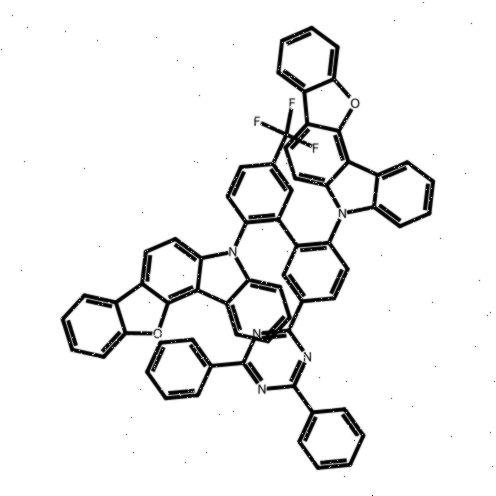 FC(F)(F)c1ccc(-n2c3ccccc3c3c4oc5ccccc5c4ccc32)c(-c2cc(-c3nc(-c4ccccc4)nc(-c4ccccc4)n3)ccc2-n2c3ccccc3c3c4oc5ccccc5c4ccc32)c1